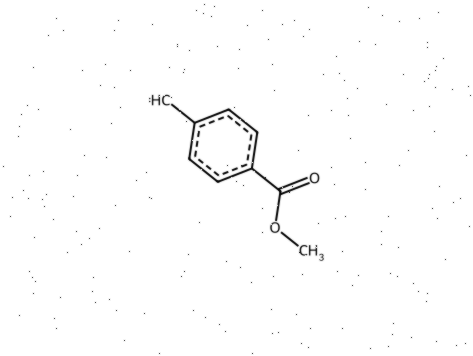 [CH]c1ccc(C(=O)OC)cc1